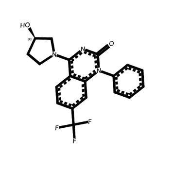 O=c1nc(N2CC[C@@H](O)C2)c2ccc(C(F)(F)F)cc2n1-c1ccccc1